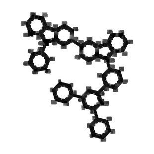 c1ccc(-c2cc(-c3ccccc3)nc(-c3cccc(-n4c5ccccc5c5cc(-c6ccc7c8cccnc8n(-c8ccccc8)c7c6)ccc54)c3)c2)cc1